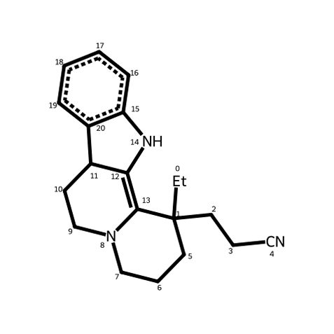 CCC1(CCC#N)CCCN2CCC3C(=C21)Nc1ccccc13